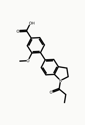 CCC(=O)N1CCc2cc(-c3ccc(C(=O)O)cc3OC)ccc21